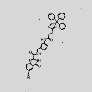 N#Cc1ccc2nc(C(=O)NCc3cccc(NC(=O)CCc4ncn(C(c5ccccc5)(c5ccccc5)c5ccccc5)n4)c3)[nH]c(=O)c2c1